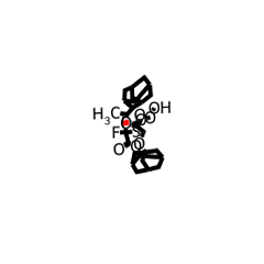 CCC1(OC(=O)COC23CC4CC(C2)C(OC(=O)C(F)(F)SOOO)C(C4)C3)C2CC3CC(C2)CC1C3